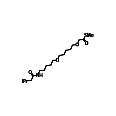 CSC(=O)COCCCCCOCCCCCNC(=O)CC(C)C